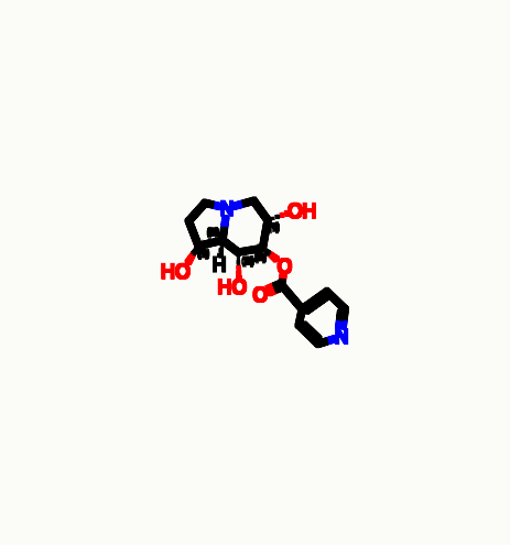 O=C(O[C@H]1[C@H](O)[C@H]2[C@@H](O)CCN2C[C@@H]1O)c1ccncc1